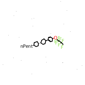 CCCCC[C@H]1CC[C@H](C2CCC(C3=CCC(OC(F)(F)C(F)(F)C(F)(F)CF)C=C3)CC2)CC1